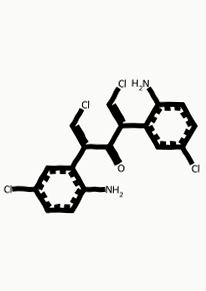 Nc1ccc(Cl)cc1C(=CCl)C(=O)C(=CCl)c1cc(Cl)ccc1N